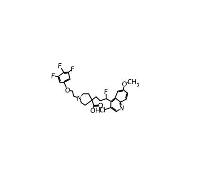 COc1ccc2ncc(Cl)c([C@H](F)CCC3(C(=O)O)CCN(CCOc4cc(F)c(F)c(F)c4)CC3)c2c1